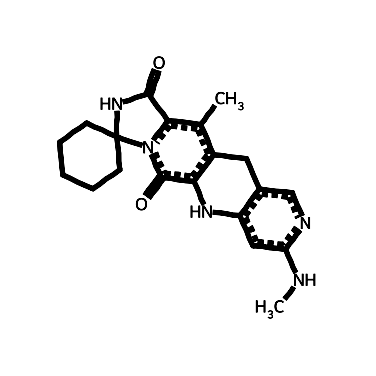 CNc1cc2c(cn1)Cc1c(C)c3n(c(=O)c1N2)C1(CCCCC1)NC3=O